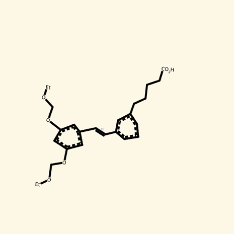 CCOCOc1cc(/C=C/c2cccc(CCCCC(=O)O)c2)cc(OCOCC)c1